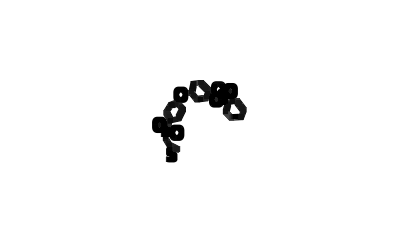 O=S(=O)(CC1CS1)c1ccc(Oc2ccc(OS(=O)(=O)c3ccccc3)cc2)cc1